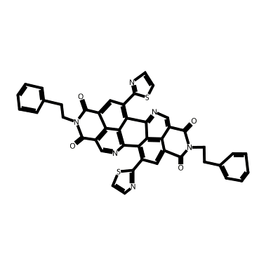 O=C1c2cnc3c4c(-c5nccs5)cc5c6c(cnc(c7c(-c8nccs8)cc(c2c37)C(=O)N1CCc1ccccc1)c64)C(=O)N(CCc1ccccc1)C5=O